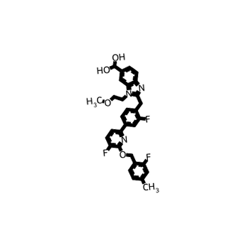 COCCn1c(Cc2ccc(-c3ccc(F)c(OCc4ccc(C)cc4F)n3)cc2F)nc2ccc(C(O)O)cc21